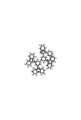 c1ccc(-n2c(-c3cc(-c4cc(-n5c6ccccc6c6ccccc65)cc(-n5c6ccccc6c6ccccc65)c4)cc(-n4c5ccccc5c5ccccc54)c3)nc3ccccc32)cc1